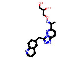 CC(=NOCC(O)CO)c1ccc2nnc(Cc3ccc4ncccc4c3)n2n1